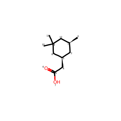 C[C@H]1C[C@@H](CC(=O)O)CC(C)(C)C1